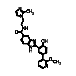 COc1ncccc1-c1ccc(O)c(-c2nc3cc(C(=O)NCCn4ccnc4C)ccc3[nH]2)c1